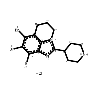 Brc1c(Br)c2c3c(nc(C4CCNCC4)n3CCC2)c1Br.Cl